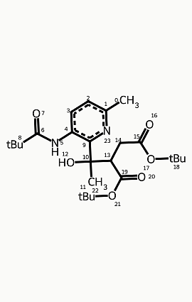 Cc1ccc(NC(=O)C(C)(C)C)c(C(C)(O)C(CC(=O)OC(C)(C)C)C(=O)OC(C)(C)C)n1